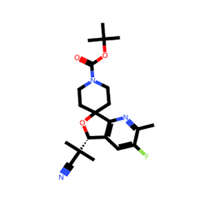 Cc1nc2c(cc1F)[C@H](C(C)(C)C#N)OC21CCN(C(=O)OC(C)(C)C)CC1